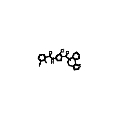 Cc1c(F)cccc1C(=O)Nc1ccc(C(=O)N2CCc3ccsc3-c3ccccc32)c(Cl)c1